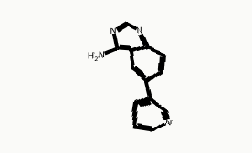 Nc1ncnc2ccc(-c3cccnc3)cc12